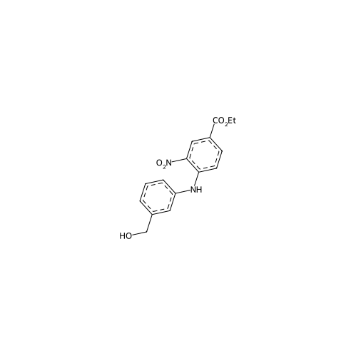 CCOC(=O)c1ccc(Nc2cccc(CO)c2)c([N+](=O)[O-])c1